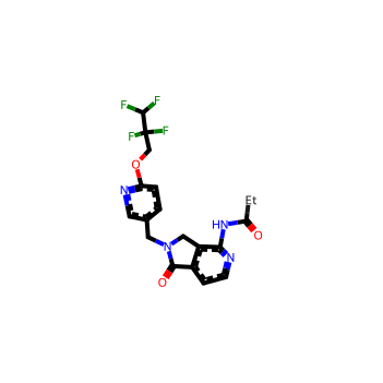 CCC(=O)Nc1nccc2c1CN(Cc1ccc(OCC(F)(F)C(F)F)nc1)C2=O